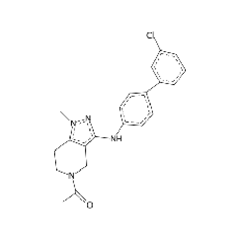 CC(=O)N1CCc2c(c(Nc3ccc(-c4cccc(Cl)c4)cc3)nn2C)C1